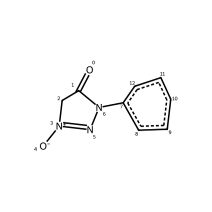 O=C1C[N+]([O-])=NN1c1ccccc1